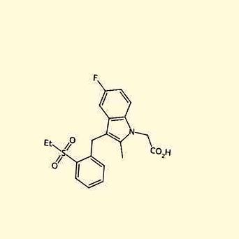 CCS(=O)(=O)c1ccccc1Cc1c(C)n(CC(=O)O)c2ccc(F)cc12